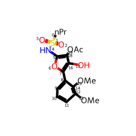 CCCS(=O)(=O)Nc1oc(-c2cccc(OC)c2OC)c(O)c1OC(C)=O